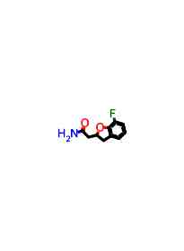 NC(=O)CC1Cc2cccc(F)c2O1